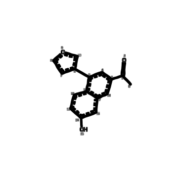 CC(=O)c1cc(-c2ccoc2)c2ccc(O)cc2c1